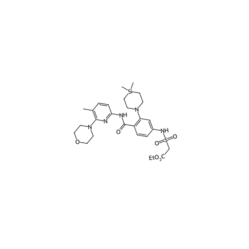 CCOC(=O)CS(=O)(=O)Nc1ccc(C(=O)Nc2ccc(C)c(N3CCOCC3)n2)c(N2CC[Si](C)(C)CC2)c1